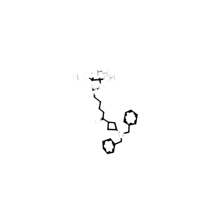 CC1(C)OB(CCCCC(=O)C2CC(N(Cc3ccccc3)Cc3ccccc3)C2)OC1(C)C